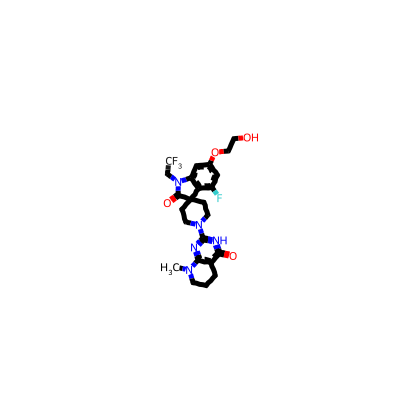 CN1CCCc2c1nc(N1CCC3(CC1)C(=O)N(CC(F)(F)F)c1cc(OCCO)cc(F)c13)[nH]c2=O